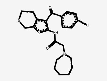 O=C(CN1CCCCCC1)Nc1sc2c(c1C(=O)c1ccc(Cl)cc1)CCSC2